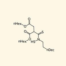 CCCCCCCCCCCCN(S)C(=S)C(CC(=O)OCCCCCC)C(=O)OCCCCCC